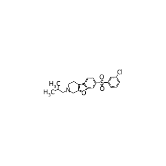 CC(C)CN1CCc2c(oc3cc(S(=O)(=O)c4cccc(Cl)c4)ccc23)C1